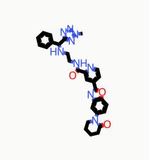 Cn1nnc(C(NCCNC(=O)c2cc(-c3nc4cc(N5CCCCC5=O)ccc4o3)ccn2)c2ccccc2)n1